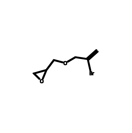 C=C(Br)COCC1CO1